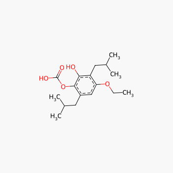 CCOc1cc(CC(C)C)c(OC(=O)O)c(O)c1CC(C)C